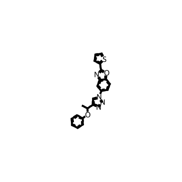 CC(Oc1ccccc1)c1cn(-c2ccc3oc(-c4cccs4)nc3c2)nn1